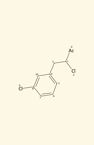 CC(=O)C(Cl)Cc1cccc(Cl)c1